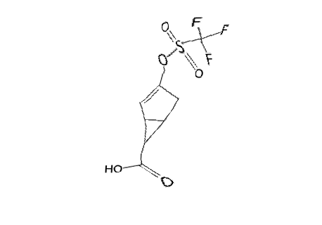 O=C(O)C1C2C=C(OS(=O)(=O)C(F)(F)F)CC21